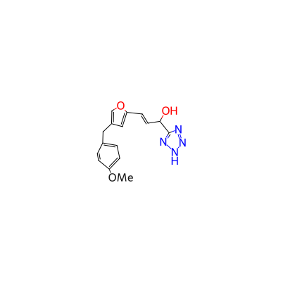 COc1ccc(Cc2coc(C=CC(O)c3nn[nH]n3)c2)cc1